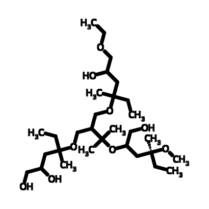 CCOCC(O)CC(C)(CC)OCC(COC(C)(CC)CC(O)CO)C(C)(C)OC(CO)C[C@](C)(CC)OC